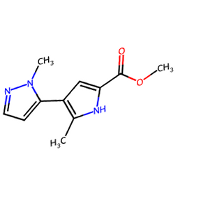 COC(=O)c1cc(-c2ccnn2C)c(C)[nH]1